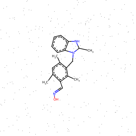 Cc1cc(C)c(CN2c3ccccc3NC2C)c(C)c1/C=N/O